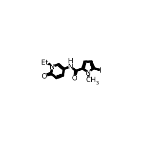 CCn1cc(NC(=O)c2ccc(I)n2C)ccc1=O